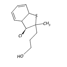 CC1(CCCO)SC2C=CC=CC2[C@@H]1Cl